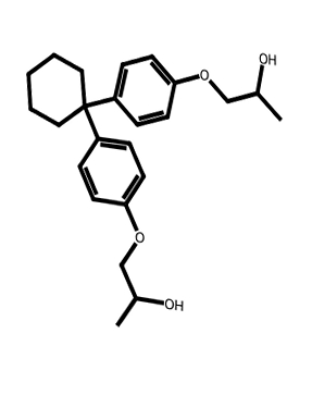 CC(O)COc1ccc(C2(c3ccc(OCC(C)O)cc3)CCCCC2)cc1